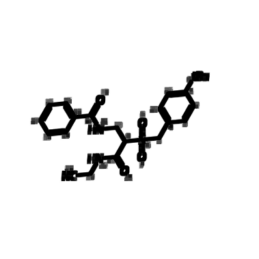 CC(C)(C)c1ccc(CS(=O)(=O)C(CNC(=O)c2ccccc2)C(=O)NCC#N)cc1